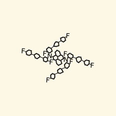 Fc1ccc(-c2ccc(-c3ccc(F)c(N(c4cc(-c5ccc(-c6ccc(F)cc6)cc5)ccc4F)c4cc5cccc6c(N(c7cc(-c8ccc(-c9ccc(F)cc9)cc8)ccc7F)c7cc(-c8ccc(-c9ccc(F)cc9)cc8)ccc7F)cc7cccc4c7c56)c3)cc2)cc1